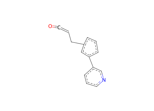 O=C=CCc1cccc(-c2cccnc2)c1